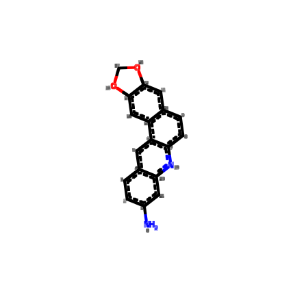 Nc1ccc2cc3c(ccc4cc5c(cc43)OCO5)nc2c1